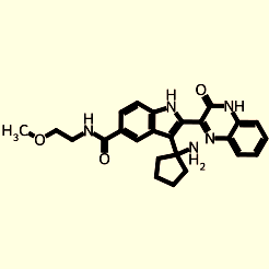 COCCNC(=O)c1ccc2[nH]c(-c3nc4ccccc4[nH]c3=O)c(C3(N)CCCC3)c2c1